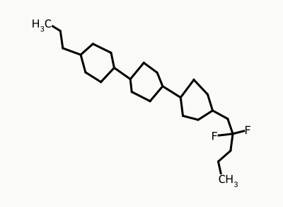 CCCC1CCC(C2CCC(C3CCC(CC(F)(F)CCC)CC3)CC2)CC1